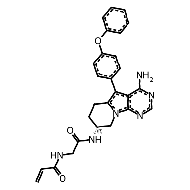 C=CC(=O)NCC(=O)N[C@@H]1CCc2c(-c3ccc(Oc4ccccc4)cc3)c3c(N)ncnc3n2C1